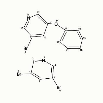 Brc1cncc(Br)c1.Brc1cncc(Oc2ccccc2)c1